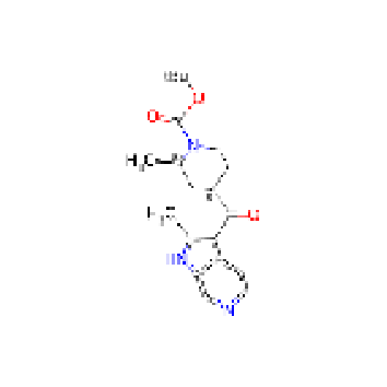 Cc1[nH]c2cnccc2c1C(=O)[C@H]1CCN(C(=O)OC(C)(C)C)[C@H](C)C1